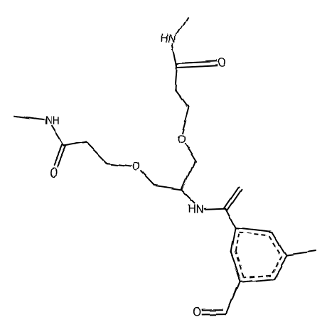 C=C(NC(COCCC(=O)NC)COCCC(=O)NC)c1cc(C)cc(C=O)c1